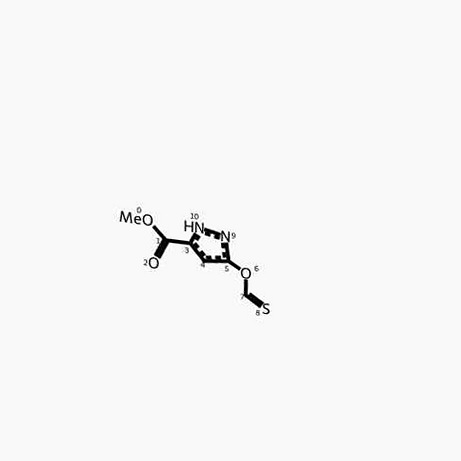 COC(=O)c1cc(OC=S)n[nH]1